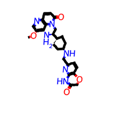 COc1cnc2ccc(=O)n(C[C@H](N)[C@H]3CC[C@H](NCc4ccc5c(n4)NC(=O)CO5)CC3)c2c1